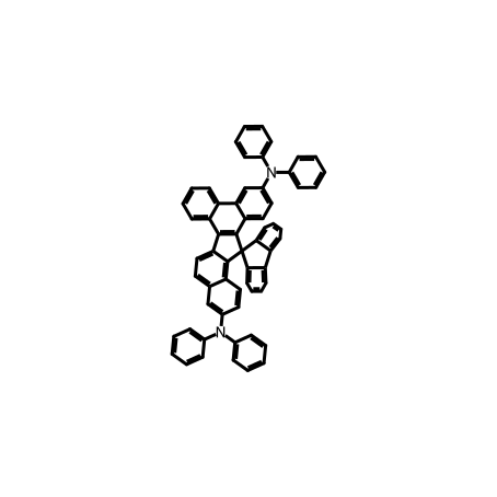 c1ccc(N(c2ccccc2)c2ccc3c4c(ccc3c2)-c2c(c3ccc(N(c5ccccc5)c5ccccc5)cc3c3ccccc23)C42c3ccccc3-c3ccccc32)cc1